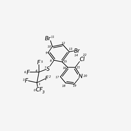 FC(F)(F)C(F)(F)C(F)(F)Sc1cc(Br)[c]c(Br)c1-c1cccnc1Cl